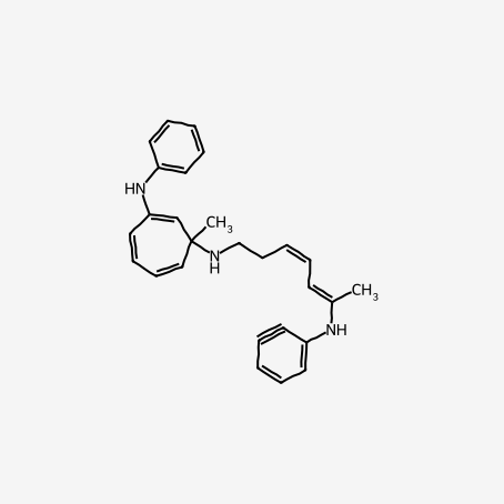 C/C(=C\C=C/CCNC1(C)C=CC=CC(Nc2ccccc2)=C1)Nc1c#cccc1